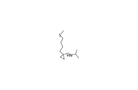 CSCCCCC1(CNC(C)C)CC1